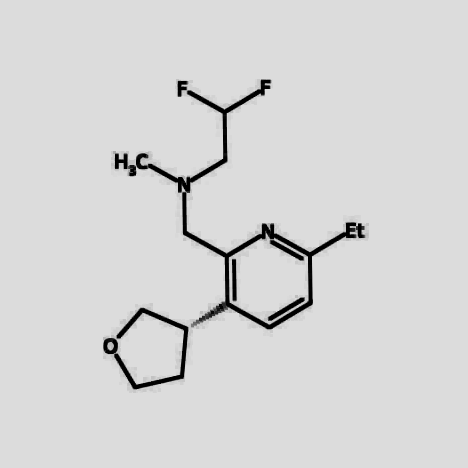 CCc1ccc([C@@H]2CCOC2)c(CN(C)CC(F)F)n1